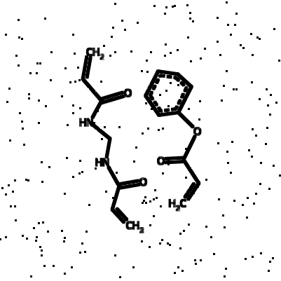 C=CC(=O)NCNC(=O)C=C.C=CC(=O)Oc1ccccc1